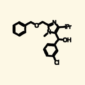 CC(C)c1nc(COCc2ccccc2)n(C)c1C(O)c1cccc(Cl)c1